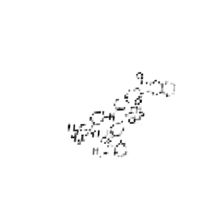 CC(C)(C)c1cccc(N2c3ccc(C=C4C(=O)c5cc6ccccc6cc5C4=O)cc3C(C)(C)c3cc4c(cc32)C(C)(C)c2ccccc2-4)c1